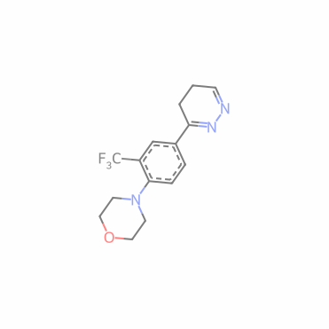 FC(F)(F)c1cc(C2=NN=CCC2)ccc1N1CCOCC1